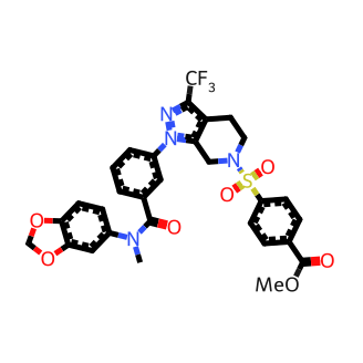 COC(=O)c1ccc(S(=O)(=O)N2CCc3c(C(F)(F)F)nn(-c4cccc(C(=O)N(C)c5ccc6c(c5)OCO6)c4)c3C2)cc1